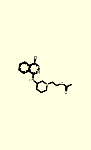 CC(=O)OCCN1CCCC(Nc2nnc(Cl)c3ccccc23)C1